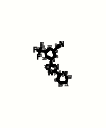 N#Cc1cc(-c2nc(-c3ccccn3)no2)cc(C(F)(F)F)c1